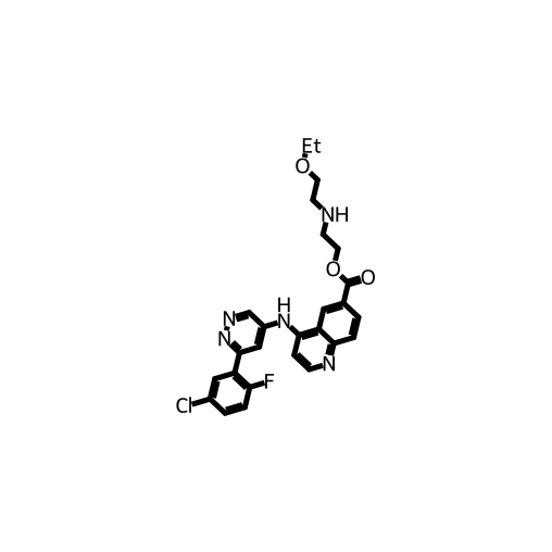 CCOCCNCCOC(=O)c1ccc2nccc(Nc3cnnc(-c4cc(Cl)ccc4F)c3)c2c1